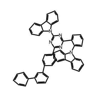 c1ccc(-c2cccc(-c3ccc(-c4nc(-c5ccccc5-n5c6ccccc6c6ccccc65)nc(-n5c6ccccc6c6ccccc65)n4)cc3)c2)cc1